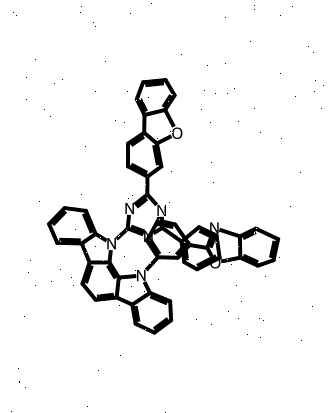 c1ccc(-c2nc(-c3ccc4c(c3)oc3ccccc34)nc(-n3c4ccccc4c4ccc5c6ccccc6n(-c6cccc(-c7nc8ccccc8o7)c6)c5c43)n2)cc1